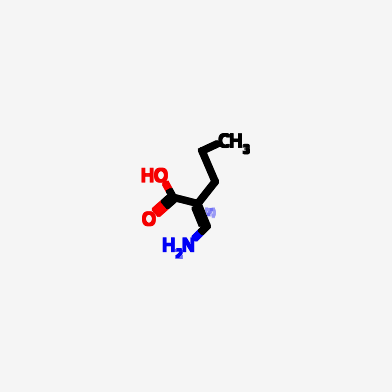 CCC/C(=C/N)C(=O)O